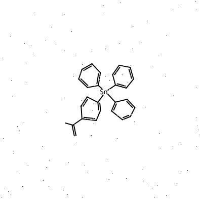 C=C(C)c1cc[c]([Sn]([c]2ccccc2)([c]2ccccc2)[c]2ccccc2)cc1